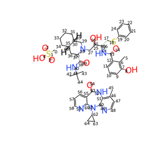 CS(=O)(=O)O.Cc1c(O)cccc1C(=O)N[C@@H](CSc1ccccc1)[C@H](O)CN1C[C@H]2CCCC[C@H]2C[C@H]1C(=O)NC(C)(C)C.Cc1ccnc2c1NC(=O)c1cccnc1N2C1CC1